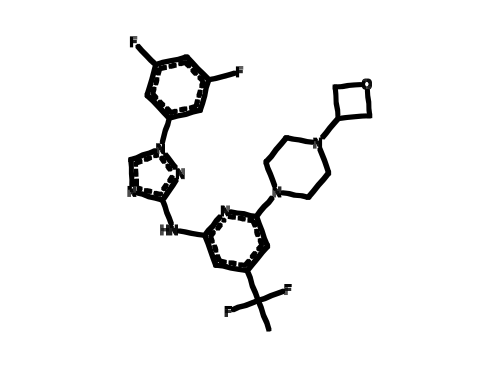 CC(F)(F)c1cc(Nc2ncn(-c3cc(F)cc(F)c3)n2)nc(N2CCN(C3COC3)CC2)c1